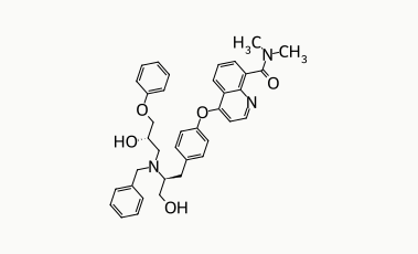 CN(C)C(=O)c1cccc2c(Oc3ccc(C[C@@H](CO)N(Cc4ccccc4)C[C@H](O)COc4ccccc4)cc3)ccnc12